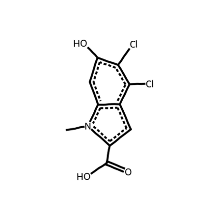 Cn1c(C(=O)O)cc2c(Cl)c(Cl)c(O)cc21